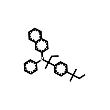 CCC(C)(C)c1ccc(C(C)(CC)N(c2ccccc2)c2ccc3ccccc3c2)cc1